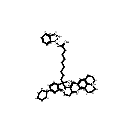 CC1(CCCCCCCCC(=O)On2nnc3ccccc32)C2=[N+](CCC3Oc4c(cc5c6c4CCCN6CCC5)C=C23)c2cc(C3CCCCC3)ccc21